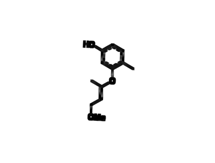 COC/C=C(\C)Oc1cc(O)ccc1C